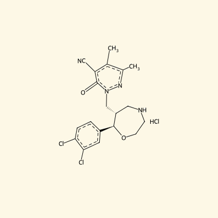 Cc1nn(C[C@@H]2CNCCO[C@H]2c2ccc(Cl)c(Cl)c2)c(=O)c(C#N)c1C.Cl